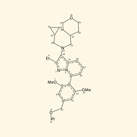 CCc1nn2c(-c3c(OC)cc(COC(C)C)cc3OC)cccc2c1N(CC1CCOCC1)CC1CC1